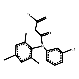 C=C(CC)CC(=O)N(c1cccc(CC)c1)c1c(C)cc(C)cc1C